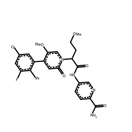 COCCC(C(=O)Nc1ccc(C(N)=O)nc1)n1cc(OC)c(-c2cc(Cl)cc(F)c2C(C)C)cc1=O